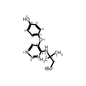 CC(C)(C)CC(C)(C)Nc1nnncc1Oc1ccc(O)cc1